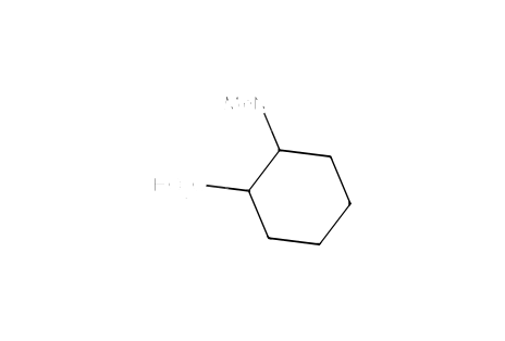 CNC1CCCCC1C(=O)O